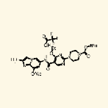 CCOc1nc(N2CCN(C(=O)OC(C)(C)C)CC2)ncc1C(=O)Nc1cc(OC)c2nc(C)cn2c1.O=C(O)C(F)(F)F